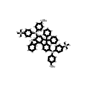 CC(C)(C)c1ccc(N(c2ccc([Si](C)(C)C)cc2)c2ccc3c(c2)C(c2ccccc2)(c2ccccc2)c2cc(N(c4ccc(C(C)(C)C)cc4)c4ccc([Si](C)(C)C)cc4)c4sc5ccccc5c4c2-3)cc1